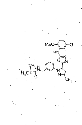 COc1ccc(Cl)cc1Nc1nnc(-c2cc(C(F)(F)F)nn2-c2cccc(CNC(=O)[C@H](C)N)c2)o1